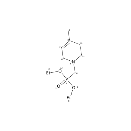 CCOP(=O)(CN1CC=C(C)CC1)OCC